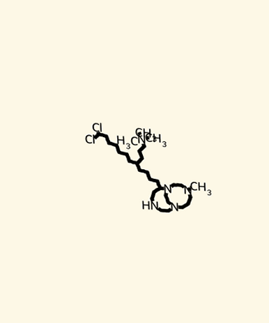 CN1CCCN2CCNCCC(CCCCC(CCCCCCC(Cl)Cl)CCC[N+](C)(C)C)N(CC1)CC2